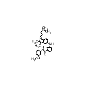 COc1cccc(NC(=O)c2cccc(Nc3ccc4c(c3)c(C)c(C)n4CCCN(C)C)c2)c1